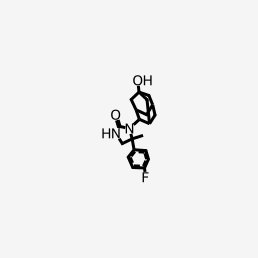 CC1(c2ccc(F)cc2)CNC(=O)N1C1C2CC3CC1CC(O)(C3)C2